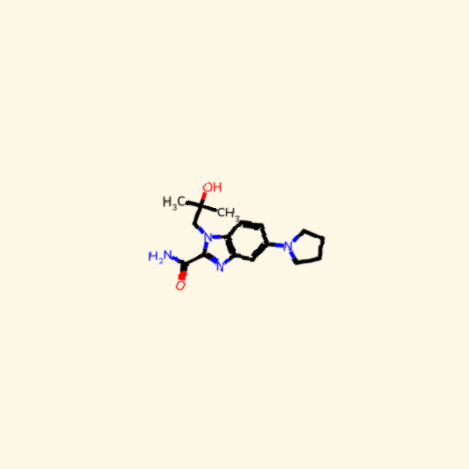 CC(C)(O)Cn1c(C(N)=O)nc2cc(N3CCCC3)ccc21